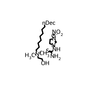 CCCCCCCCCCCCCCCCCC[N+](C)(C)CCO.NC(=S)NN1C=NCC1.O=[N+]([O-])[O-]